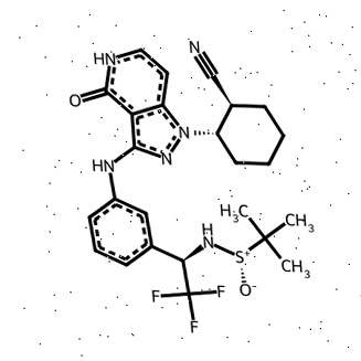 CC(C)(C)[S@+]([O-])N[C@H](c1cccc(Nc2nn([C@H]3CCCC[C@@H]3C#N)c3cc[nH]c(=O)c23)c1)C(F)(F)F